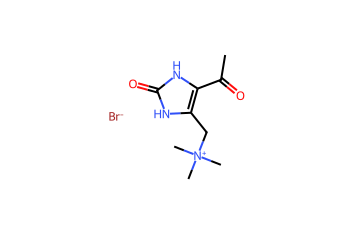 CC(=O)c1[nH]c(=O)[nH]c1C[N+](C)(C)C.[Br-]